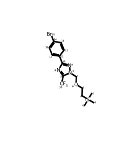 CS(C)(C)CCOCn1nc(-c2ccc(Br)cc2)nc1C(F)(F)F